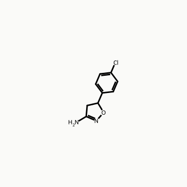 NC1=NOC(c2ccc(Cl)cc2)C1